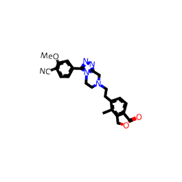 COc1cc(-c2nnc3n2CCN(CCc2ccc4c(c2C)COC4=O)C3)ccc1C#N